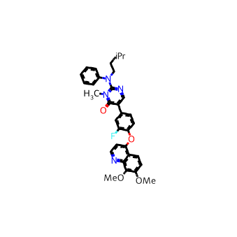 COc1ccc2c(Oc3ccc(-c4cnc(N(CCC(C)C)c5ccccc5)n(C)c4=O)cc3F)ccnc2c1OC